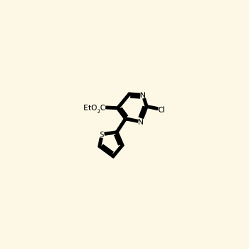 CCOC(=O)c1cnc(Cl)nc1-c1cccs1